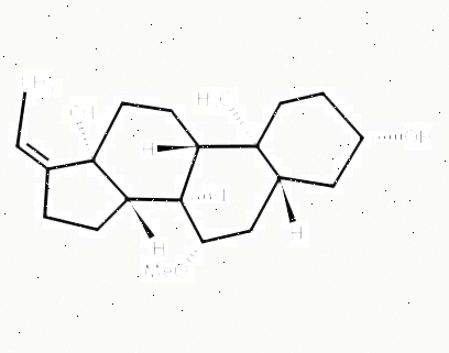 C/C=C1/CC[C@H]2[C@@H]3[C@@H](OC)C[C@H]4C[C@@H](O)CC[C@]4(C)[C@H]3CC[C@]12C